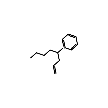 C=CCC(CCCC)[n+]1ccccc1